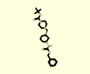 CC(C)(C)OC(=O)N1CCN(C[C@@H]2CCC[C@@H](NC(=O)OCc3ccccc3)C2)CC1